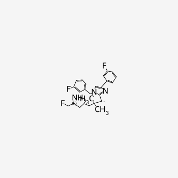 CC(C)([CH]c1nc(-c2cccc(F)c2)cn1Cc1cccc(F)c1)CCC[C@@H](N)CF